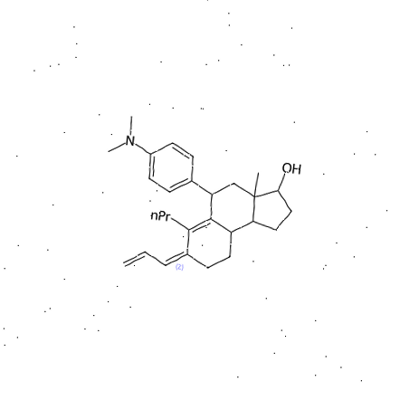 C=C/C=C1/CCC2C(=C1CCC)C(c1ccc(N(C)C)cc1)CC1(C)C(O)CCC21